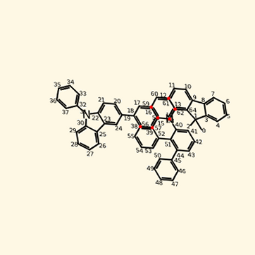 CC1(C)c2ccccc2-c2cccc(N(c3ccc(-c4ccc5c(c4)c4ccccc4n5-c4ccccc4)cc3)c3cccc(-c4ccccc4)c3-c3ccccc3-c3ccccc3)c21